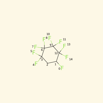 FC1CC(F)(F)C(F)(F)C(F)(F)C1(F)F